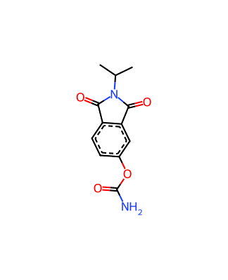 CC(C)N1C(=O)c2ccc(OC(N)=O)cc2C1=O